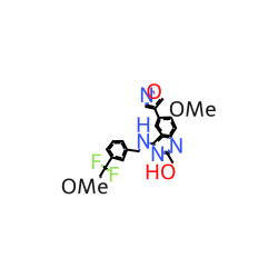 COCC(F)(F)c1cccc(CNc2nc(CO)nc3cc(OC)c(-c4cnoc4)cc23)c1